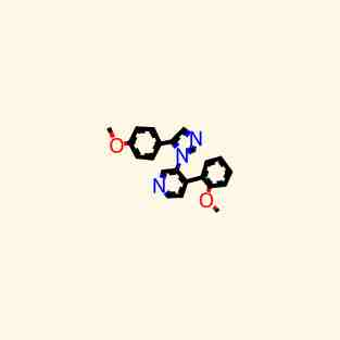 COc1ccc(-c2cncn2-c2cnccc2-c2ccccc2OC)cc1